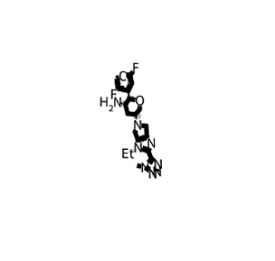 CCn1c(-c2nnnn2C)nc2c1CN([C@H]1CO[C@H](c3cc(F)ccc3F)[C@@H](N)C1)C2